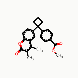 COC(=O)c1ccc(C2(c3ccc4oc(=O)c(C)c(C)c4c3)CCC2)cc1